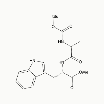 COC(=O)[C@H](Cc1c[nH]c2ccccc12)NC(=O)C(C)NC(=O)OC(C)(C)C